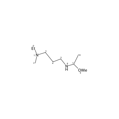 CCN(C)CCCNC(C)OC